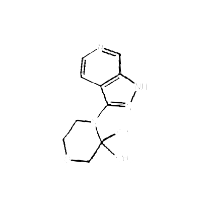 CC1(C)COCCN1c1n[nH]c2cnccc12